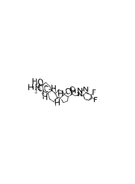 C[C@@]1(O)CC[C@@]2(C)[C@@H](CC[C@@H]3[C@@H]2CC[C@]2(C)[C@@H](C(=O)Cn4nnc5c(F)c(F)ccc54)CC[C@@H]32)C1